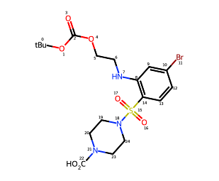 CC(C)(C)OC(=O)OCCNc1cc(Br)ccc1S(=O)(=O)N1CCN(C(=O)O)CC1